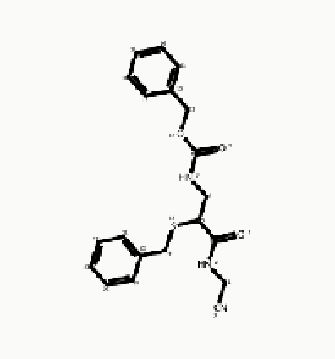 N#CCNC(=O)C(CNC(=O)OCc1ccccc1)SCc1ccccc1